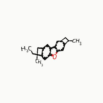 CCC1(C)Cc2cc3c(cc21)oc1cc2c(cc13)CC2C